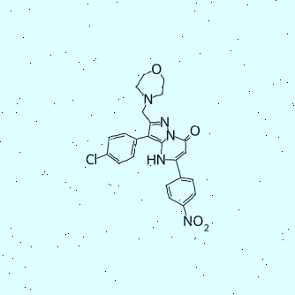 O=c1cc(-c2ccc([N+](=O)[O-])cc2)[nH]c2c(-c3ccc(Cl)cc3)c(CN3CCOCC3)nn12